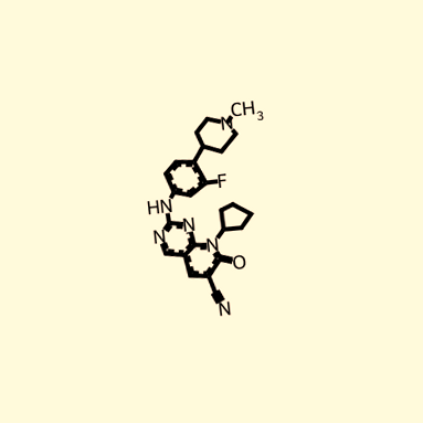 CN1CCC(c2ccc(Nc3ncc4cc(C#N)c(=O)n(C5CCCC5)c4n3)cc2F)CC1